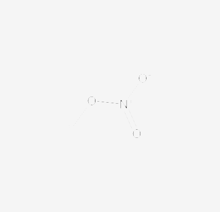 [CH]O[N+](=O)[O-]